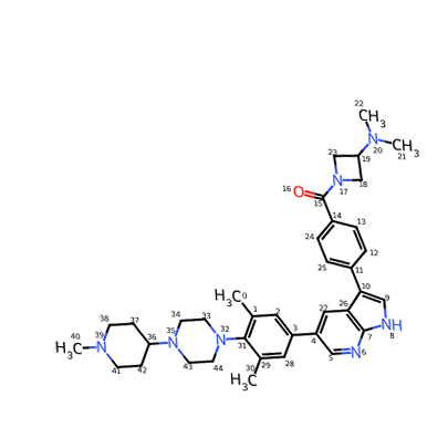 Cc1cc(-c2cnc3[nH]cc(-c4ccc(C(=O)N5CC(N(C)C)C5)cc4)c3c2)cc(C)c1N1CCN(C2CCN(C)CC2)CC1